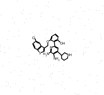 Nc1nc(-c2c(O)cccc2OCc2csc3ccc(Cl)cc23)cc(C2CCCNC2)c1N